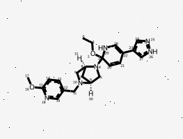 CCOC1(N2C[C@@H]3C[C@H]2CN3Cc2ccc(OC)nc2)C=CC(c2cn[nH]c2)=CN1